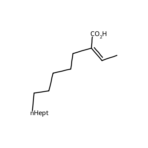 CC=C(CCCCCCCCCCCC)C(=O)O